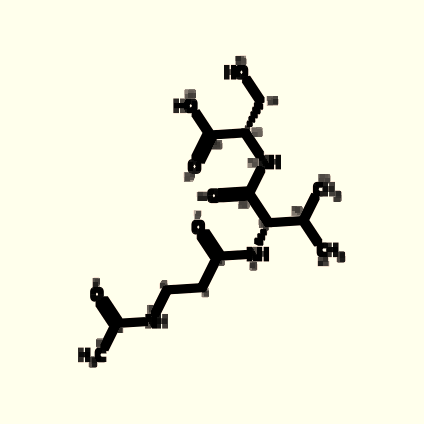 CC(=O)NCCC(=O)N[C@H](C(=O)N[C@@H](CO)C(=O)O)C(C)C